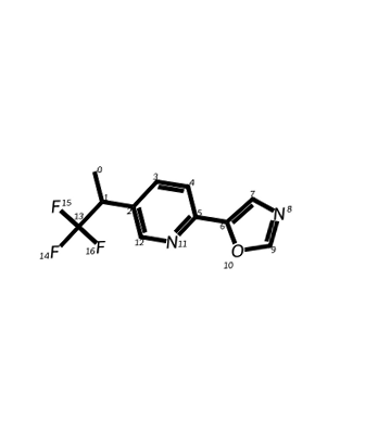 CC(c1ccc(-c2cnco2)nc1)C(F)(F)F